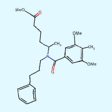 COC(=O)CCCC(C)N(CCCc1ccccc1)C(=O)c1cc(OC)c(C)c(OC)c1